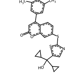 Cc1cc(C)cc(-c2cc(=O)oc3cc(Sc4ncc(C(O)(C5CC5)C5CC5)s4)ccc23)c1